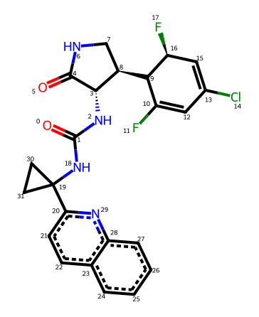 O=C(N[C@@H]1C(=O)NC[C@H]1C1C(F)=CC(Cl)=C[C@@H]1F)NC1(c2ccc3ccccc3n2)CC1